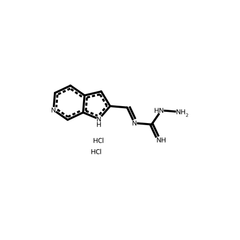 Cl.Cl.N=C(N=Cc1cc2ccncc2[nH]1)NN